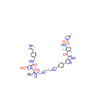 Cc1ncsc1-c1ccc(CNC(=O)[C@@H]2C[C@@H](O)CN2C(=O)[C@@H](NC(=O)CN2CC(CCN3CC(c4ccc(-c5cnc6[nH]cc(C(=O)c7c(F)ccc(NS(=O)(=O)N8CC[C@@H](F)C8)c7F)c6c5)cc4)C3)C2)C(C)(C)C)cc1